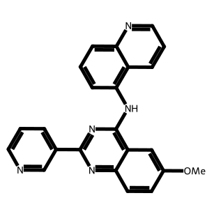 COc1ccc2nc(-c3cccnc3)nc(Nc3cccc4ncccc34)c2c1